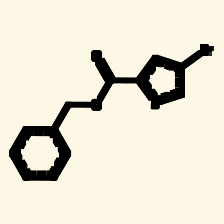 O=C(OCc1ccccc1)c1cc(Br)cs1